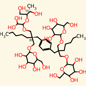 CCCCCC(COC1OC(CO)C(O)C(O)C1O)(COC1OC(CO)C(O)C(O)C1O)Cc1ccc(C[C@@](CCCCC)(COC(OC(CO)[C@H](C)O)C(O)O)COC2OC(CO)C(O)C(O)C2O)cc1